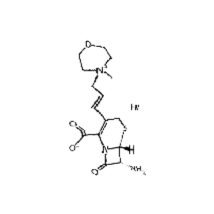 C[N+]1(C/C=C/C2=C(C(=O)[O-])N3C(=O)[C@@H](N)[C@H]3SC2)CCOCC1.I